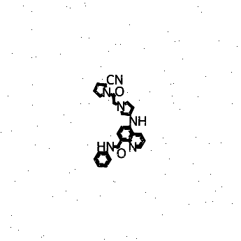 N#C[C@@H]1CCCN1C(=O)CN1CC[C@H](Nc2ccc(C(=O)Nc3ccccc3)c3ncccc23)C1